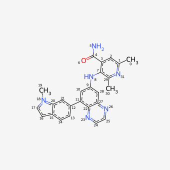 Cc1cc(C(N)=O)c(Nc2cc(-c3ccc4ccn(C)c4c3)c3nccnc3c2)c(C)n1